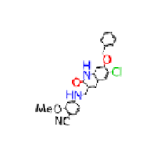 COc1cc(NCc2cc3cc(Cl)c(OCc4ccccc4)cc3[nH]c2=O)ccc1C#N